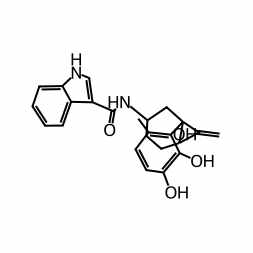 C=C1C2(O)CCC(NC(=O)c3c[nH]c4ccccc34)CC12c1c(C)ccc(O)c1O